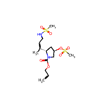 C=CCOC(=O)N1C[C@H](OS(C)(=O)=O)C[C@H]1/C(C)=C\CNS(C)(=O)=O